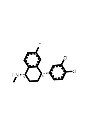 CN[C@H]1CC[C@@H](c2ccc(Cl)c(Cl)c2)c2cc(F)ccc21